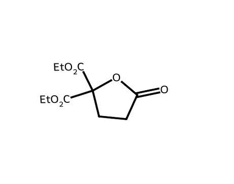 CCOC(=O)C1(C(=O)OCC)CCC(=O)O1